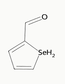 O=CC1=CC=C[SeH2]1